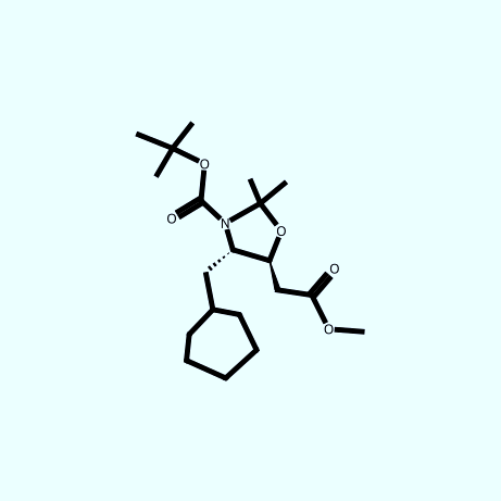 COC(=O)C[C@@H]1OC(C)(C)N(C(=O)OC(C)(C)C)[C@H]1CC1CCCCC1